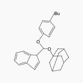 CCC(C)c1ccc(OC(OC23CC4CC(CC(C4)C2)C3)C2C=Cc3ccccc32)cc1